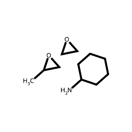 C1CO1.CC1CO1.NC1CCCCC1